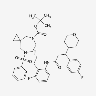 CC(C)(C)OC(=O)N1C[C@H](CCc2c(F)cccc2NC(=O)CC(c2ccc(F)cc2)C2CCOCC2)N(S(=O)(=O)c2ccccc2)CC2(CC2)C1